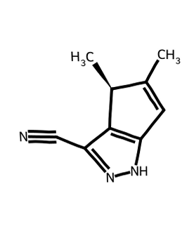 CC1=Cc2[nH]nc(C#N)c2[C@H]1C